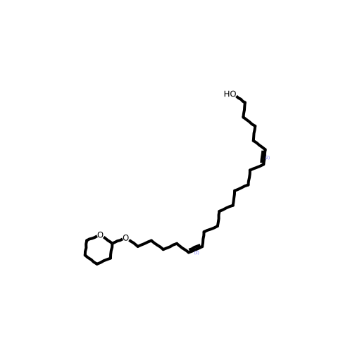 OCCCC/C=C\CCCCCCC/C=C\CCCCOC1CCCCO1